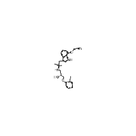 CC(C)(Cc1c[nH]c2c(OCC#N)cccc12)NC[C@H](O)COc1ccccc1I